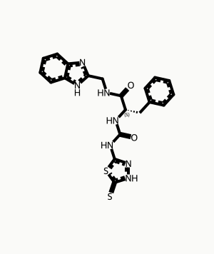 O=C(Nc1n[nH]c(=S)s1)N[C@@H](Cc1ccccc1)C(=O)NCc1nc2ccccc2[nH]1